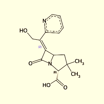 CC1(C)CC2/C(=C(/CO)c3ccccn3)C(=O)N2[C@H]1C(=O)O